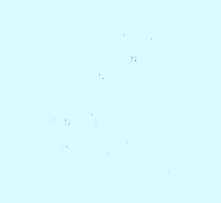 CCCCOc1ccc(C(=O)N(C)c2ccc(N3CCC(N(C)C(C)=O)C3)cc2)cc1